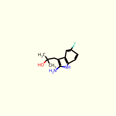 CC(C)(O)Cc1c(N)[nH]c2ccc(F)cc12